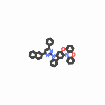 c1ccc(-c2cc(-c3ccc4ccccc4c3)nc(-n3c4ccccc4c4cc5c(cc43)Oc3cccc4c3N5c3ccccc3O4)n2)cc1